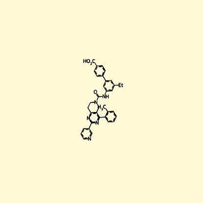 CCc1cc(NC(=O)N2CCc3nc(-c4cccnc4)nc(-c4ccccc4C)c3C2)cc(-c2ccc(C(=O)O)cc2)c1